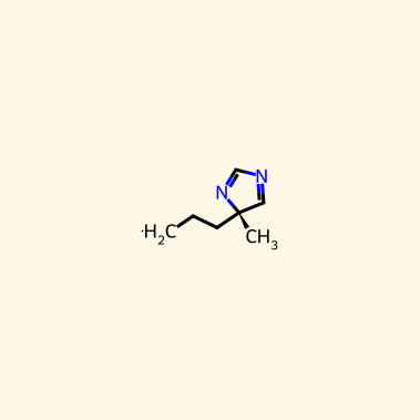 [CH2]CC[C@@]1(C)C=NC=N1